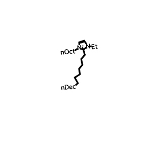 CCCCCCCCCCCCCCCCCc1n(CC)cc[n+]1CCCCCCCC